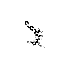 CON=C(C(=O)N[C@@H]1C(=O)N2C(C(=O)[O-])=C(C[n+]3ccc(CN4CCCC4)cc3)CS[C@@H]12)c1csc(N)n1